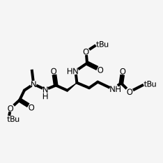 CN(CC(=O)OC(C)(C)C)NC(=O)C[C@H](CCNC(=O)OC(C)(C)C)NC(=O)OC(C)(C)C